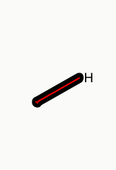 O=P(=O)OOOOOOOOOOOOOOOOOOOOOOOOOOOOOOOOOOOOOOOOOOOOOOOOOOOOOOOOOOOOOOOOOOOOOOO